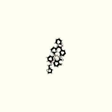 O=C(Nc1cccc(-c2nc3ccccn3c2-c2ccnc(Nc3cccc(OCC4CCCO4)c3)n2)c1)c1c(F)cccc1F